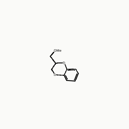 COCC1COc2ccccc2O1